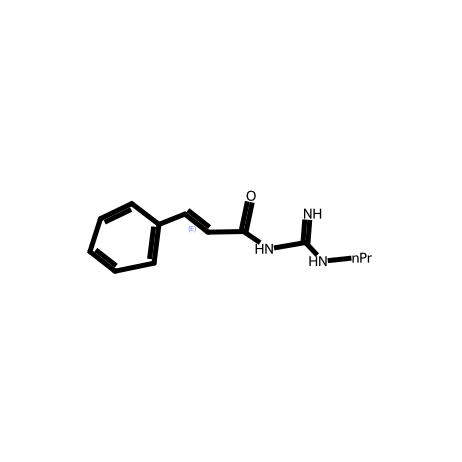 CCCNC(=N)NC(=O)/C=C/c1ccccc1